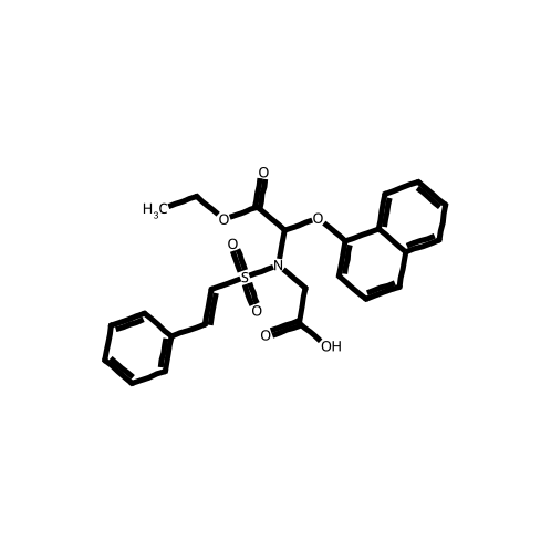 CCOC(=O)C(Oc1cccc2ccccc12)N(CC(=O)O)S(=O)(=O)C=Cc1ccccc1